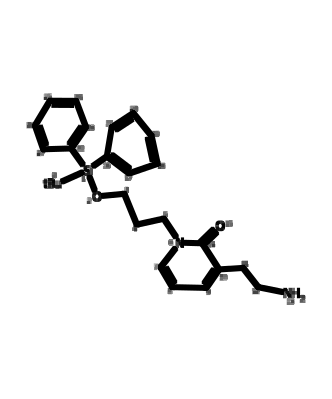 CC(C)(C)[Si](OCCCn1cccc(CCN)c1=O)(c1ccccc1)c1ccccc1